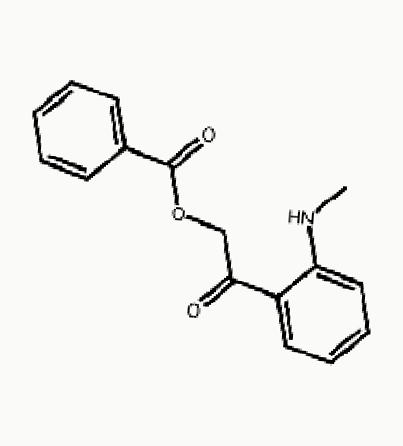 CNc1ccccc1C(=O)COC(=O)c1ccccc1